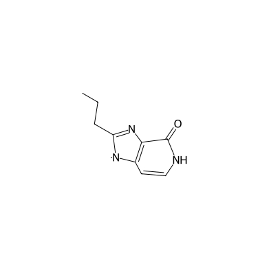 CCCC1=Nc2c(cc[nH]c2=O)[N]1